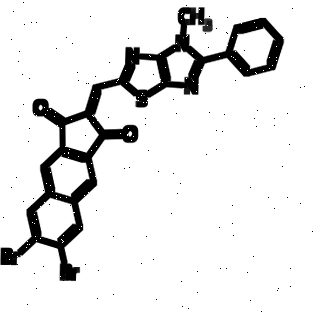 Cn1c(-c2ccccc2)nc2sc(C=C3C(=O)c4cc5cc(Br)c(Br)cc5cc4C3=O)nc21